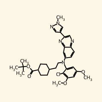 COc1cc(OC)c(Cl)c(N(CCC2CCC(C(=O)OC(C)(C)C)CC2)c2ccc3ncc(-c4cnn(C)c4)nc3c2)c1